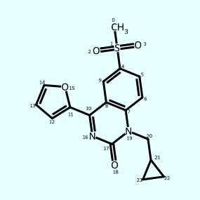 CS(=O)(=O)c1ccc2c(c1)c(-c1ccco1)nc(=O)n2CC1CC1